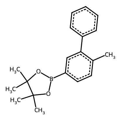 Cc1ccc(B2OC(C)(C)C(C)(C)O2)cc1-c1ccccc1